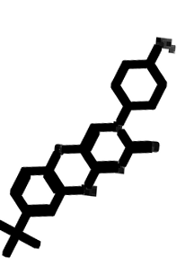 CC(C)(C)c1ccc2c(c1)Nc1nc(=O)n(C3CCC(N)CC3)cc1O2